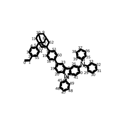 C=Cc1ccc(C23CC4CC(C2)CC(c2ccc(-c5ccc6c(c5)c5cc(N(c7ccccc7)c7ccccc7)ccc5n6-c5ccccc5)cc2)(C4)C3)cc1